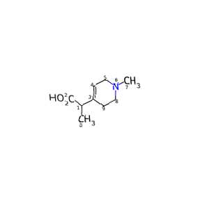 CC(C(=O)O)C1=CCN(C)CC1